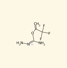 C=C(O/C(N)=N\N)C(F)(F)F